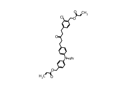 C=CC(=O)OCc1ccc(N(CCC)c2ccc(CCC(=O)CCc3ccc(COC(=O)C=C)c(Cl)c3)cc2)cc1